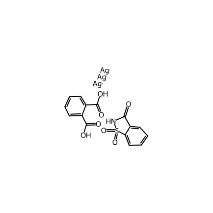 O=C(O)c1ccccc1C(=O)O.O=C1NS(=O)(=O)c2ccccc21.[Ag].[Ag].[Ag]